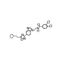 O=C(NCCn1cnc2cc(-c3noc(CCC4CCCC4)n3)ccc21)c1ccc(Cl)c(Cl)c1